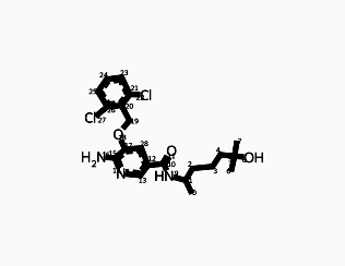 CC(CCCC(C)(C)O)NC(=O)c1cnc(N)c(OCc2c(Cl)cccc2Cl)c1